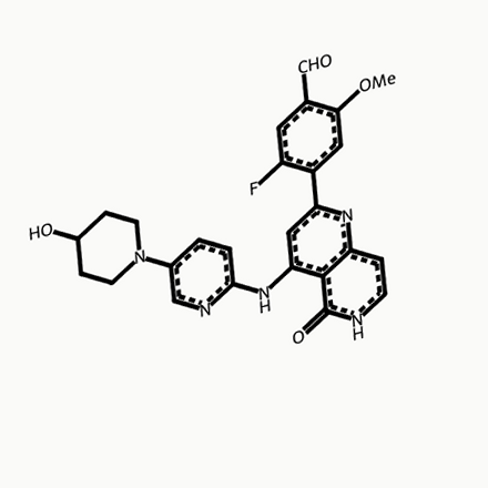 COc1cc(-c2cc(Nc3ccc(N4CCC(O)CC4)cn3)c3c(=O)[nH]ccc3n2)c(F)cc1C=O